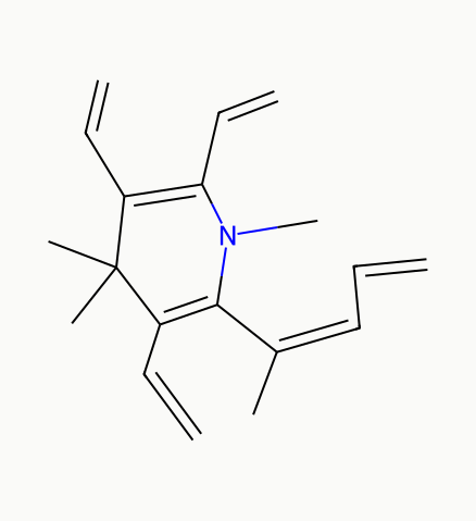 C=C/C=C(/C)C1=C(C=C)C(C)(C)C(C=C)=C(C=C)N1C